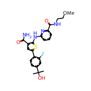 COCCNC(=O)c1cccc(Nc2sc(-c3ccc(C(C)(C)O)cc3F)cc2C(N)=O)n1